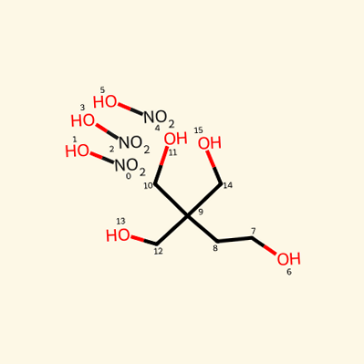 O=[N+]([O-])O.O=[N+]([O-])O.O=[N+]([O-])O.OCCC(CO)(CO)CO